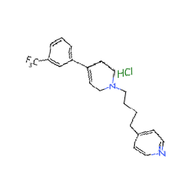 Cl.FC(F)(F)c1cccc(C2=CCN(CCCCc3ccncc3)CC2)c1